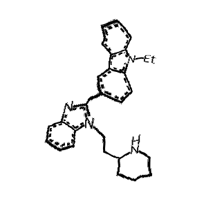 CCn1c2ccccc2c2cc(-c3nc4ccccc4n3CCC3CCCCN3)ccc21